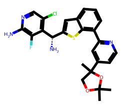 CC1(C)OCC(C)(c2ccnc(-c3cccc4cc([C@H](N)c5c(Cl)cnc(N)c5F)sc34)c2)O1